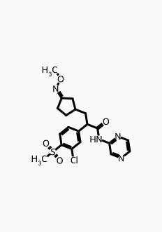 CO/N=C1/CCC(CC(C(=O)Nc2cnccn2)c2ccc(S(C)(=O)=O)c(Cl)c2)C1